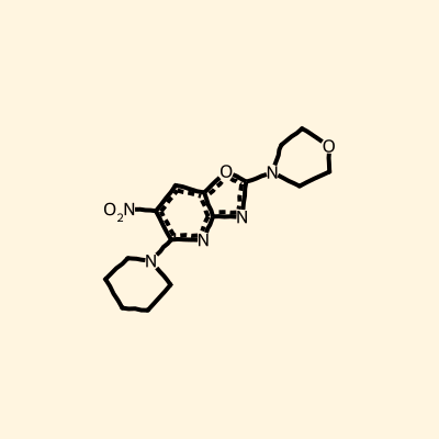 O=[N+]([O-])c1cc2oc(N3CCOCC3)nc2nc1N1CCCCC1